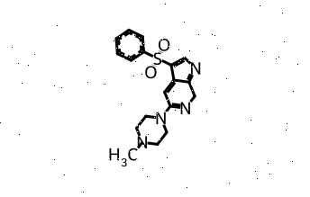 CN1CCN(C2=NCC3=NC=C(S(=O)(=O)c4ccccc4)C3=C2)CC1